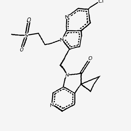 CS(=O)(=O)CCn1c(CN2C(=O)C3(CC3)c3ccncc32)cc2cc(Cl)cnc21